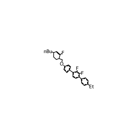 CCCCC1C=C(F)C(COc2ccc(-c3ccc(-c4ccc(CC)cc4)c(F)c3F)cc2)CC1